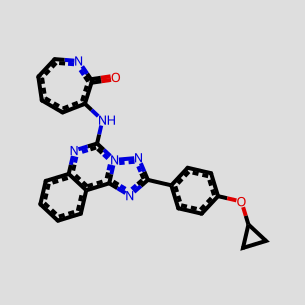 O=c1nccccc1Nc1nc2ccccc2c2nc(-c3ccc(OC4CC4)cc3)nn12